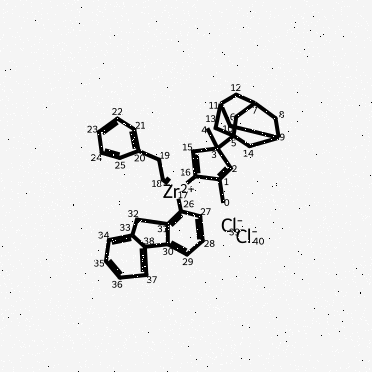 CC1=CC(C)(C23CC4CC(CC(C4)C2)C3)C=[C]1[Zr+2](=[CH]Cc1ccccc1)[c]1cccc2c1Cc1ccccc1-2.[Cl-].[Cl-]